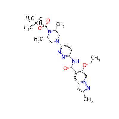 CCOc1cn2nc(C)cc2cc1C(=O)Nc1ccc(N2C[C@@H](C)N(C(=O)OC(C)(C)C)[C@@H](C)C2)nn1